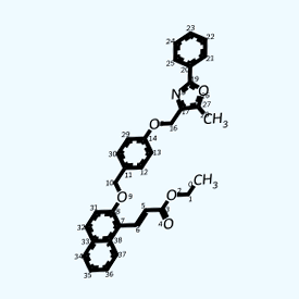 CCOC(=O)/C=C/c1c(OCc2ccc(OCc3nc(-c4ccccc4)oc3C)cc2)ccc2ccccc12